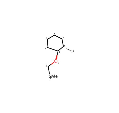 CSCO[C@H]1CCCC[C@@H]1C